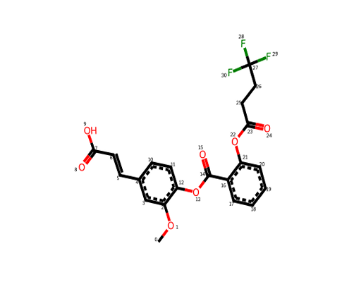 COc1cc(C=CC(=O)O)ccc1OC(=O)c1ccccc1OC(=O)CCC(F)(F)F